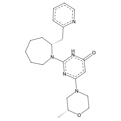 C[C@@H]1CN(c2cc(=O)[nH]c(N3CCCCC[C@@H]3Cc3ccccn3)n2)CCO1